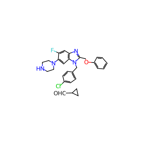 Fc1cc2nc(COc3ccccc3)n(Cc3ccc(Cl)cc3)c2cc1N1CCNCC1.O=CC1CC1